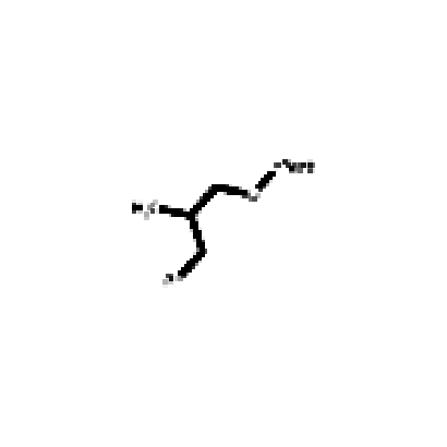 CCCCCOCC(C)CC(C)=O